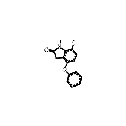 O=C1Cc2c(Oc3ccccc3)ccc(Cl)c2N1